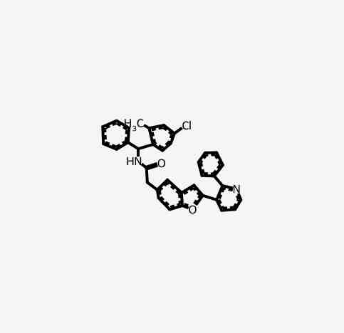 Cc1cc(Cl)ccc1C(NC(=O)Cc1ccc2oc(-c3cccnc3-c3ccccc3)cc2c1)c1ccccc1